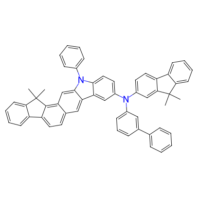 CC1(C)c2ccccc2-c2ccc(N(c3cccc(-c4ccccc4)c3)c3ccc4c(c3)c3cc5ccc6c(c5cc3n4-c3ccccc3)C(C)(C)c3ccccc3-6)cc21